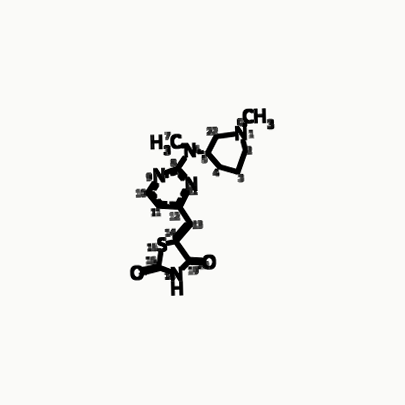 CN1CCC[C@H](N(C)c2nccc(/C=C3\SC(=O)NC3=O)n2)C1